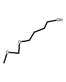 COCOCCCCO